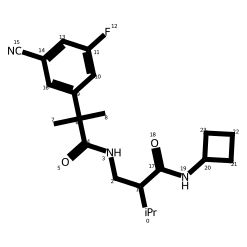 CC(C)C(CNC(=O)C(C)(C)c1cc(F)cc(C#N)c1)C(=O)NC1CCC1